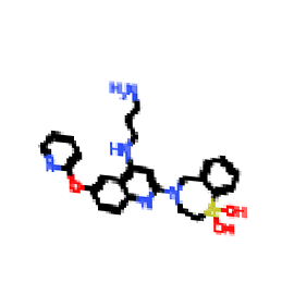 NCCCNc1cc(N2CCS(O)(O)c3ccccc3C2)nc2ccc(Oc3ccccn3)cc12